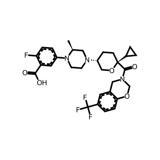 C[C@H]1CN([C@@H]2CC[C@@](C(=O)N3COc4ccc(C(F)(F)F)cc4C3)(C3CC3)OC2)CCN1c1ccc(F)c(C(=O)O)c1